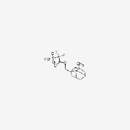 CC12CC3CC(C1)CC(COC(=O)C(F)(F)S(=O)(=O)O)(C3)C2